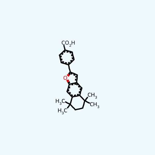 CC1(C)CCC(C)(C)c2cc3oc(-c4ccc(C(=O)O)cc4)cc3cc21